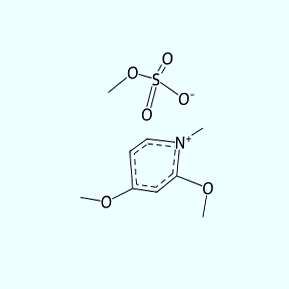 COS(=O)(=O)[O-].COc1cc[n+](C)c(OC)c1